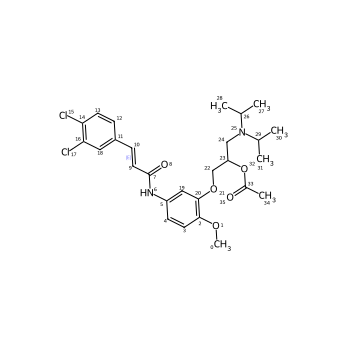 COc1ccc(NC(=O)/C=C/c2ccc(Cl)c(Cl)c2)cc1OCC(CN(C(C)C)C(C)C)OC(C)=O